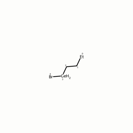 CCC[CH2][GeH2][Br]